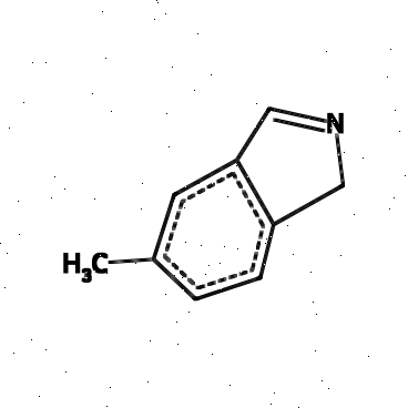 Cc1ccc2c(c1)C=NC2